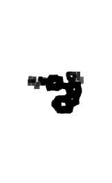 Cc1ccc2c(c1-c1ccc(N)cc1)-c1ccccc1C2